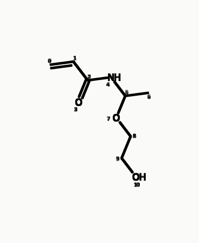 C=CC(=O)NC(C)OCCO